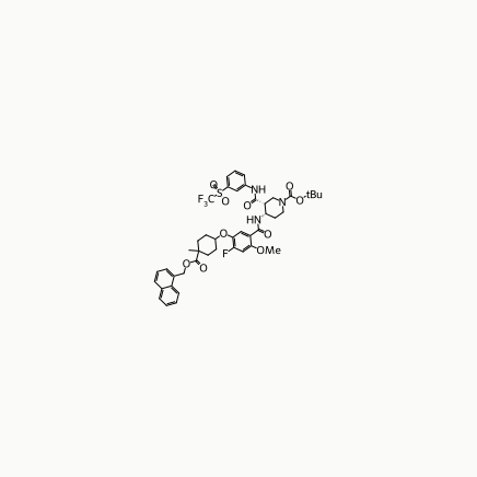 COc1cc(F)c(OC2CCC(C)(C(=O)OCc3cccc4ccccc34)CC2)cc1C(=O)N[C@H]1CCN(C(=O)OC(C)(C)C)C[C@H]1C(=O)Nc1cccc(S(=O)(=O)C(F)(F)F)c1